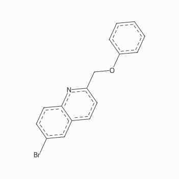 Brc1ccc2nc(COc3ccccc3)ccc2c1